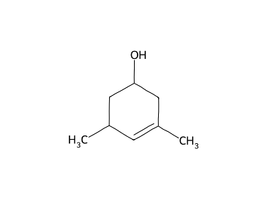 CC1=CC(C)CC(O)C1